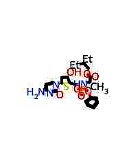 CCC(CC)COC(=O)[C@H](C)NP(=O)(OCC1S[C@@H](n2ccc(N)nc2=O)C[C@H]1O)Oc1ccccc1